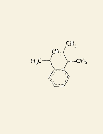 CCC(C)c1ccccc1C(C)C